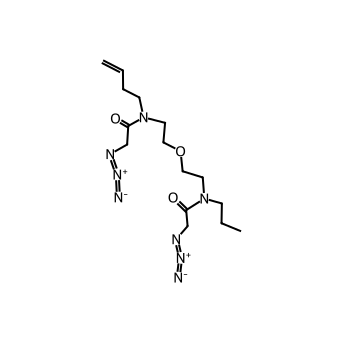 C=CCCN(CCOCCN(CCC)C(=O)CN=[N+]=[N-])C(=O)CN=[N+]=[N-]